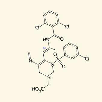 C=NC1=C(/C=C(\C)NC(=O)c2c(Cl)cccc2Cl)N(S(=O)(=O)c2cccc(Cl)c2)C[C@H](CC(=O)O)C1